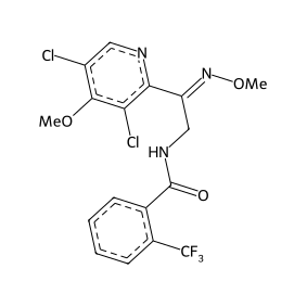 CO/N=C(\CNC(=O)c1ccccc1C(F)(F)F)c1ncc(Cl)c(OC)c1Cl